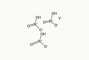 O=[N+]([O-])O.O=[N+]([O-])O.O=[N+]([O-])O.[V]